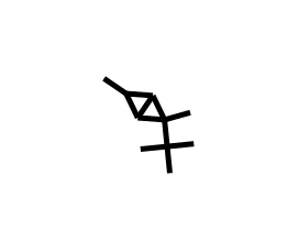 CC1C2C1C2(C)C(C)(C)C